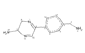 NCc1ccc(C2=NCC(N)N=C2)cc1